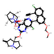 C#Cc1c(F)ccc2cc(OCOC)cc(-c3ncc4c(N5C[C@H]6CC[C@@H](C5)N6C(=O)O)nc(OC[C@@]56CCCN5CC(=C)C6)nc4c3F)c12